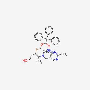 CC(=C(CCO)SCOC(=O)C(c1ccccc1)(c1ccccc1)c1ccccc1)N(C=O)Cc1cnc(C)nc1N